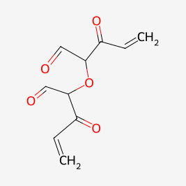 C=CC(=O)C(C=O)OC(C=O)C(=O)C=C